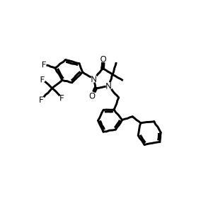 CC1(C)C(=O)N(c2ccc(F)c(C(F)(F)F)c2)C(=O)N1Cc1ccccc1CC1C=CC=CC1